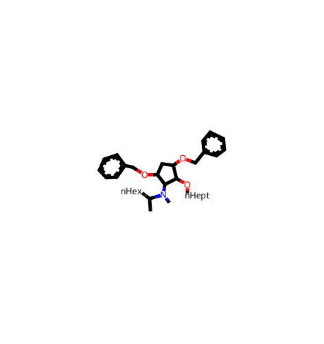 CCCCCCCOC1C(OCc2ccccc2)CC(OCc2ccccc2)C1N(C)C(C)CCCCCC